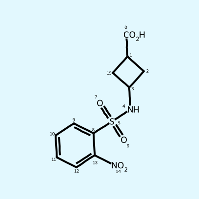 O=C(O)C1CC(NS(=O)(=O)c2ccccc2[N+](=O)[O-])C1